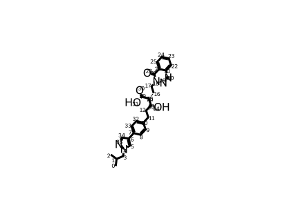 CC(C)Cn1cc(-c2ccc(CC[C@@H](O)[C@@H](CCn3nnc4ccccc4c3=O)C(=O)O)cc2)cn1